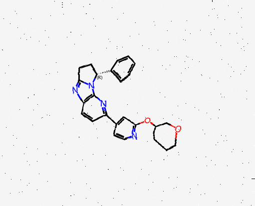 c1ccc([C@H]2CCc3nc4ccc(-c5ccnc(OC6CCCOC6)c5)nc4n32)cc1